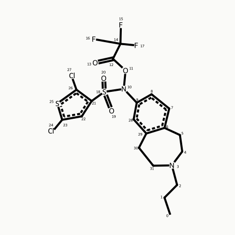 CCCN1CCc2ccc(N(OC(=O)C(F)(F)F)S(=O)(=O)c3cc(Cl)sc3Cl)cc2CC1